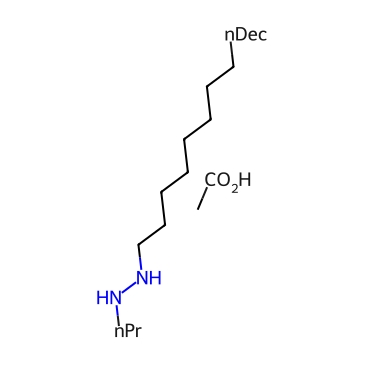 CC(=O)O.CCCCCCCCCCCCCCCCCCNNCCC